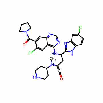 CN(C(=C=O)CC(Nc1ncnc2cc(C(=O)N3CCCC3)c(Cl)cc12)c1nc2cc(Cl)ccc2[nH]1)C1CCNCC1